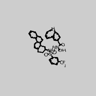 O=C(NO)c1ccc2ncccc2c1.O=S(=O)(NC1CCc2ccc3c(ccc4ccccc43)c2C1)c1cccc(C(F)(F)F)c1